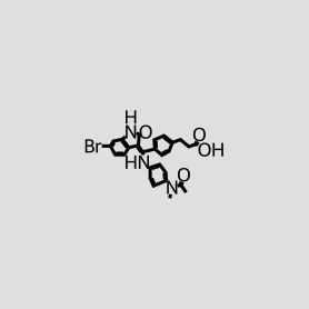 CC(=O)N(C)c1ccc(NC(=C2C(=O)Nc3cc(Br)ccc32)c2ccc(CCC(=O)O)cc2)cc1